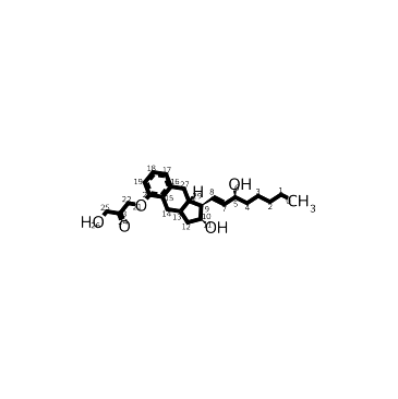 CCCCC[C@H](O)/C=C/[C@H]1[C@H](O)CC2Cc3c(cccc3OCC(=O)CO)C[C@@H]21